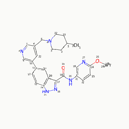 CC1CCN(Cc2cncc(-c3ccc4[nH]nc(C(=O)Nc5ccc(OC(C)C)nc5)c4c3)c2)CC1